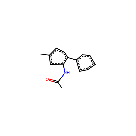 CC(=O)Nc1cc(C)ccc1-c1ccccc1